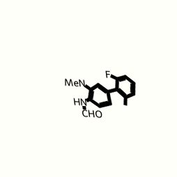 CNc1cc(-c2c(C)cccc2F)ccc1NC=O